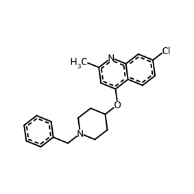 Cc1cc(OC2CCN(Cc3ccccc3)CC2)c2ccc(Cl)cc2n1